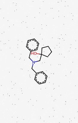 OC1(CN(Cc2ccccc2)Cc2ccccc2)CCCC1